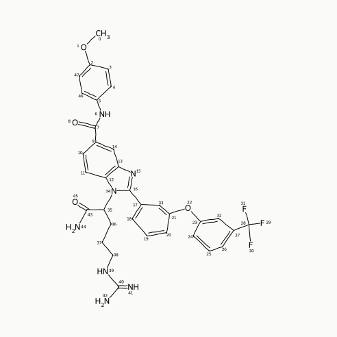 COc1ccc(NC(=O)c2ccc3c(c2)nc(-c2cccc(Oc4cccc(C(F)(F)F)c4)c2)n3C(CCCNC(=N)N)C(N)=O)cc1